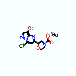 CC(C)(C)OC(=O)N1CCOC(c2cc(Cl)n3ncc(Br)c3n2)C1